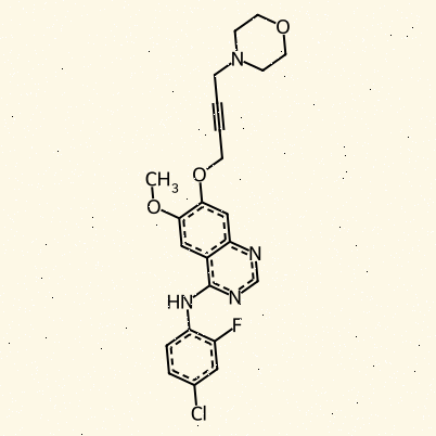 COc1cc2c(Nc3ccc(Cl)cc3F)ncnc2cc1OCC#CCN1CCOCC1